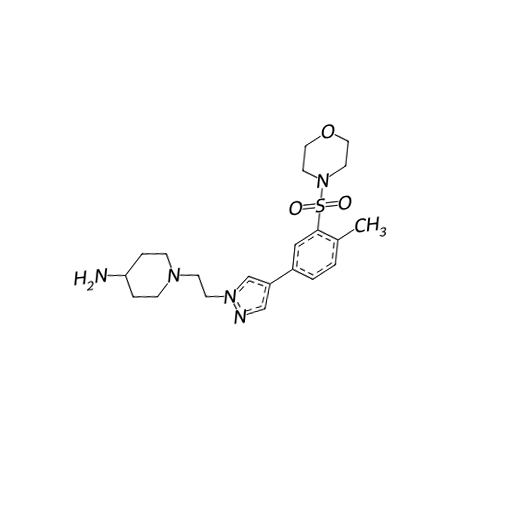 Cc1ccc(-c2cnn(CCN3CCC(N)CC3)c2)cc1S(=O)(=O)N1CCOCC1